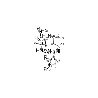 CC(C)n1cnc2c(NC3CCCC(N)C3)nc(N[C@H]3CC[C@H](N(C)C)CC3)nc21